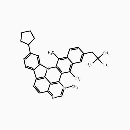 Cc1c2cc(CC(C)(C)C)ccc2c(C)c2c1c1c3c(ccc4c5ccc(C6CCCC6)cc5n2c43)nc[n+]1C